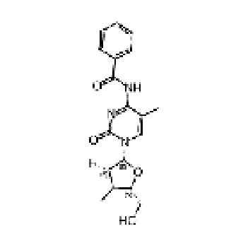 Cc1cn([C@@H]2O[C@H](CO)C(C)[C@@H]2F)c(=O)nc1NC(=O)c1ccccc1